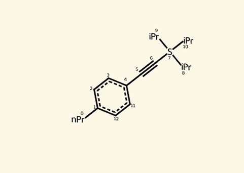 CCCc1ccc(C#CS(C(C)C)(C(C)C)C(C)C)cc1